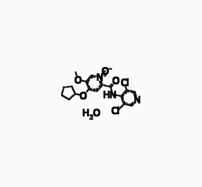 COc1c[n+]([O-])c(C(=O)Nc2c(Cl)cncc2Cl)cc1OC1CCCC1.O